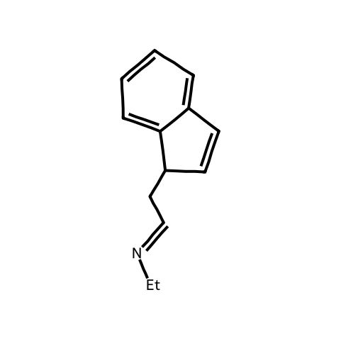 CCN=CCC1C=Cc2ccccc21